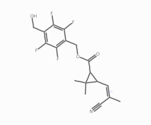 C/C(C#N)=C/C1C(C(=O)OCc2c(F)c(F)c(CO)c(F)c2F)C1(C)C